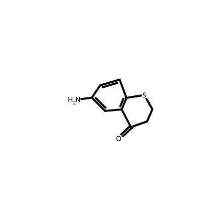 Nc1ccc2c(c1)C(=O)CCS2